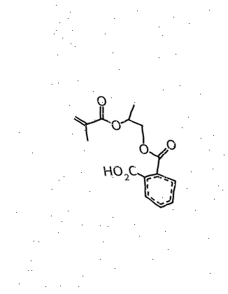 C=C(C)C(=O)OC(C)COC(=O)c1ccccc1C(=O)O